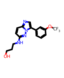 OCCCNc1ccc2ncc(-c3cccc(OC(F)(F)F)c3)n2n1